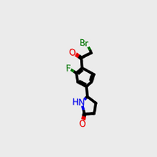 O=C1CCC(c2ccc(C(=O)CBr)c(F)c2)N1